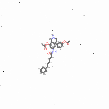 CC(=O)Oc1cccc(C23CCN(C)CC2C(OC(C)=O)CC(NC(=O)CCCCCc2ccccc2)C3)c1